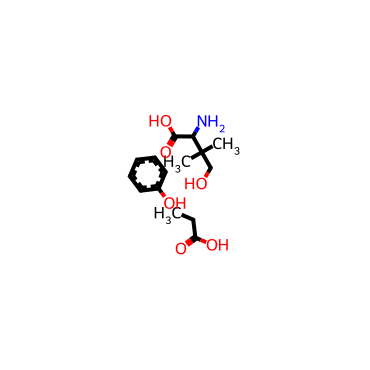 CC(C)(CO)C(N)C(=O)O.CCC(=O)O.Oc1ccccc1